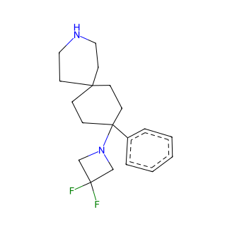 FC1(F)CN(C2(c3ccccc3)CCC3(CCNCC3)CC2)C1